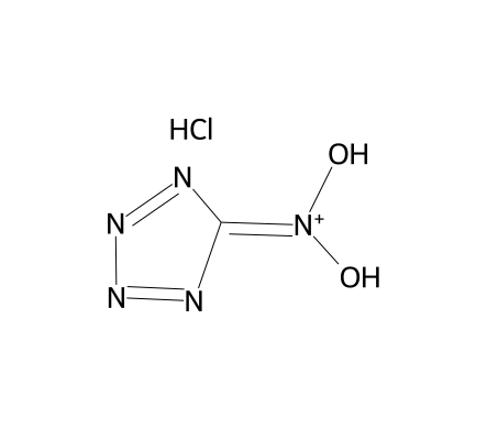 Cl.O[N+](O)=C1N=NN=N1